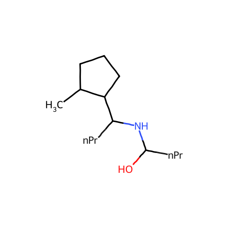 CCCC(O)NC(CCC)C1CCCC1C